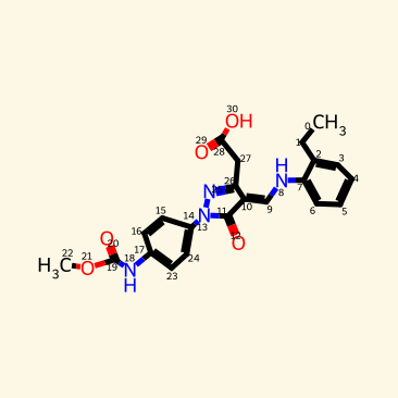 CCc1ccccc1N/C=C1/C(=O)N(c2ccc(NC(=O)OC)cc2)N=C1CC(=O)O